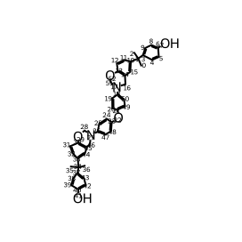 CC(C)(c1ccc(O)cc1)c1ccc2c(c1)CN(c1ccc(Oc3ccc(N4COc5ccc(C(C)(C)c6ccc(O)cc6)cc5C4)cc3)cc1)CO2